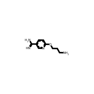 N=C(N)c1ccc(OCCCN)nc1